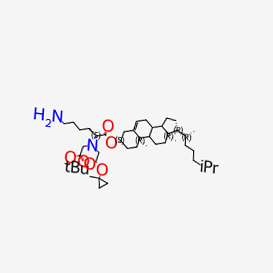 CC(C)CCC[C@@H](C)[C@H]1CCC2C3CC=C4C[C@@H](OC(=O)[C@H](CCCCN)N(CC(=O)OC(C)(C)C)CC(=O)OC5(C)CC5)CC[C@]4(C)C3CC[C@@]21C